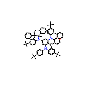 CC(C)(C)c1ccc(N2c3ccc(C(C)(C)C)cc3B3c4ccccc4N(c4ccc(C(C)(C)C)cc4-c4ccccc4)c4cc(N5c6ccc(C(C)(C)C)cc6C6(c7ccccc7)CCc7ccccc7C56C)cc2c43)cc1